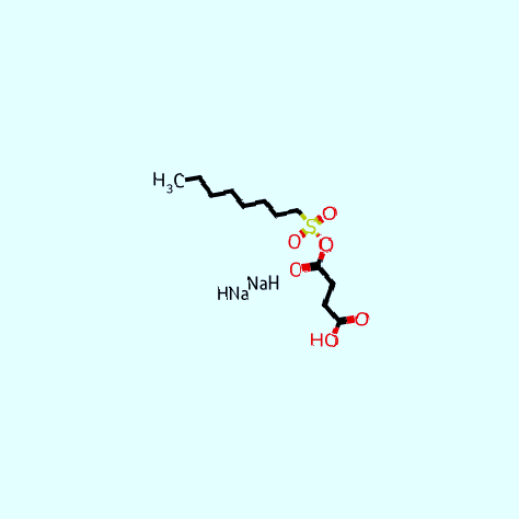 CCCCCCCCS(=O)(=O)OC(=O)CCC(=O)O.[NaH].[NaH]